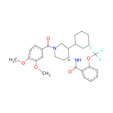 COc1ccc(C(=O)N2CC[C@@H](NC(=O)c3ccccc3OC(F)(F)F)C(C3CCCCC3)C2)cc1OC